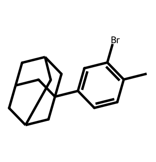 Cc1ccc(C23CC4CC(CC(C4)C2)C3)cc1Br